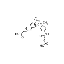 CC(=CC(C)(C)c1ccc(NC(=O)C=CC(=O)O)cc1)c1ccc(NC(=O)C=CC(=O)O)cc1